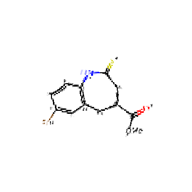 COC(=O)C1CC(=S)Nc2ccc(Br)cc2C1